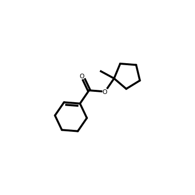 CC1(OC(=O)C2=CCCCC2)CCCC1